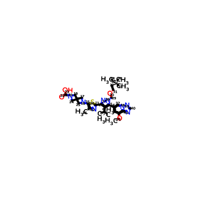 COc1cc(-c2c(C(C)C)c(-c3nc(C)c(N4CC5(CN(C(=O)O)C5)C4)s3)nn2COCC[Si](C)(C)C)cn2ncnc12